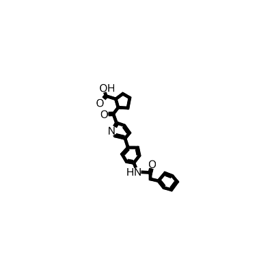 O=C(Cc1ccccc1)Nc1ccc(-c2ccc(C(=O)C3CCCC3C(=O)O)nc2)cc1